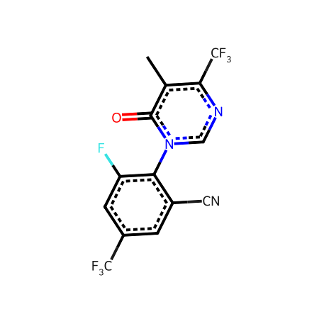 Cc1c(C(F)(F)F)ncn(-c2c(F)cc(C(F)(F)F)cc2C#N)c1=O